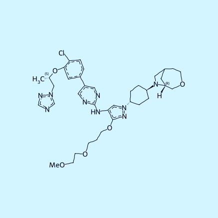 COCCOCCCOc1nn([C@H]2CC[C@H](N3CC4CCOC[C@H]3C4)CC2)cc1Nc1ncc(-c2ccc(Cl)c(O[C@@H](C)Cn3cncn3)c2)cn1